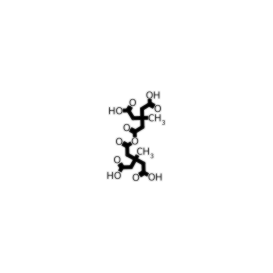 CC(CC(=O)O)(CC(=O)O)CC(=O)OC(=O)CC(C)(CC(=O)O)CC(=O)O